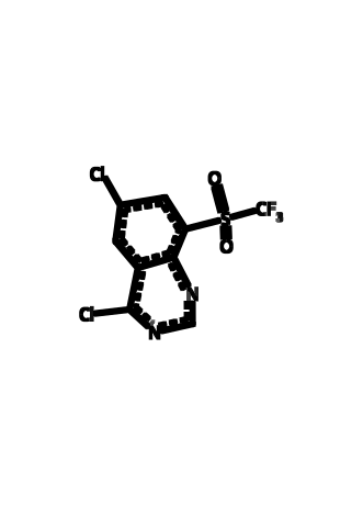 O=S(=O)(c1cc(Cl)cc2c(Cl)ncnc12)C(F)(F)F